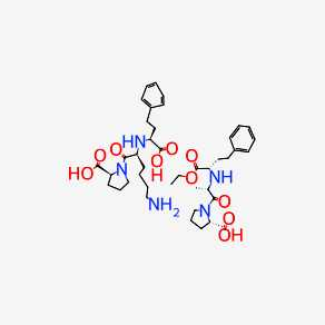 CCOC(=O)[C@H](CCc1ccccc1)N[C@@H](C)C(=O)N1CCC[C@H]1C(=O)O.NCCCC[C@H](N[C@@H](CCc1ccccc1)C(=O)O)C(=O)N1CCC[C@H]1C(=O)O